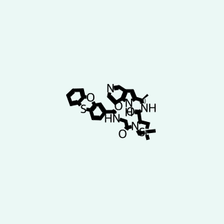 C[C@@H](NC(=O)C1C[Si](C)(C)CN1C(=O)CNC(=O)c1ccc2c(c1)Oc1ccccc1S2)c1cc2cnccc2[nH]1